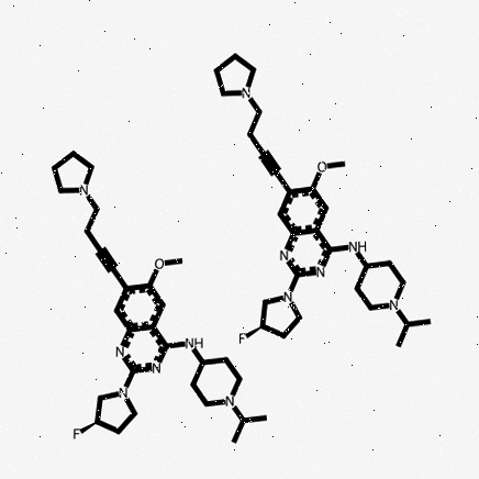 COc1cc2c(NC3CCN(C(C)C)CC3)nc(N3CC[C@@H](F)C3)nc2cc1C#CCCN1CCCC1.COc1cc2c(NC3CCN(C(C)C)CC3)nc(N3CC[C@@H](F)C3)nc2cc1C#CCCN1CCCC1